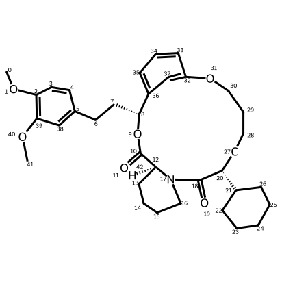 COc1ccc(CC[C@H]2OC(=O)[C@@H]3CCCCN3C(=O)[C@@H](C3CCCCC3)CCCCOc3cccc2c3)cc1OC